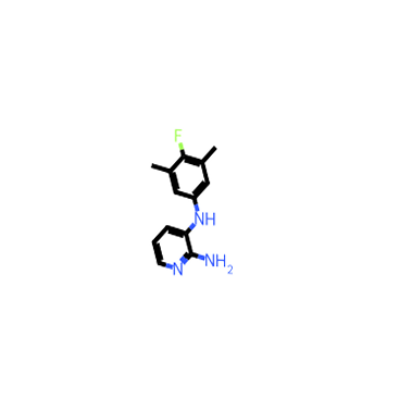 Cc1cc(Nc2cccnc2N)cc(C)c1F